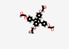 c1cc(OCC2CO2)ccc1CCC(CCc1ccc(OCC2CO2)cc1)(c1ccc(OCC2CO2)cc1)c1ccc(OCC2CO2)cc1